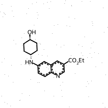 CCOC(=O)c1cnc2ccc(N[C@H]3CC[C@H](O)CC3)cc2c1